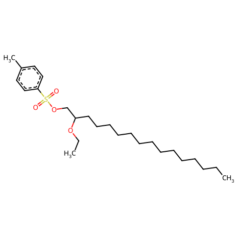 CCCCCCCCCCCCCCC(COS(=O)(=O)c1ccc(C)cc1)OCC